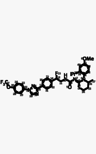 COc1ccc(N2/C(=N/C(=O)NCC(F)c3ccc(-c4ncn(-c5ccc(OC(F)(F)F)cc5)n4)cc3)SCCC2C)c(C(C)C)c1